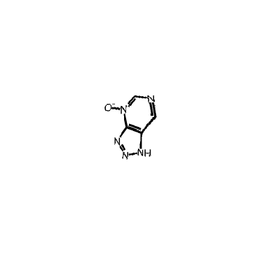 [O-][n+]1cncc2[nH]nnc21